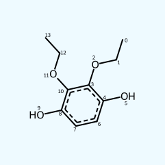 CCOc1c(O)ccc(O)c1OCC